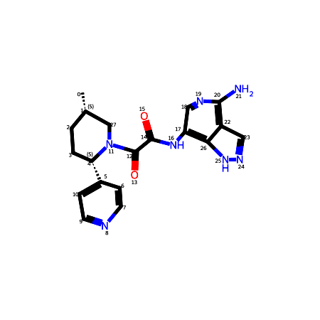 C[C@H]1CC[C@@H](c2ccncc2)N(C(=O)C(=O)Nc2cnc(N)c3cn[nH]c23)C1